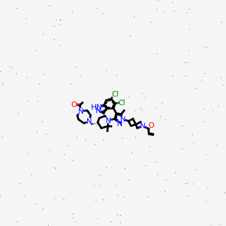 C=CC(=O)N1CC2(CC(n3nc(N4CC[C@@H](CN5CCCN(C(C)=O)CC5)CC4(C)C)c(-c4c(Cl)c(Cl)cc5[nH]ncc45)c3C)C2)C1